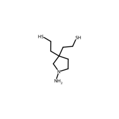 NN1CCC(CCS)(CCS)C1